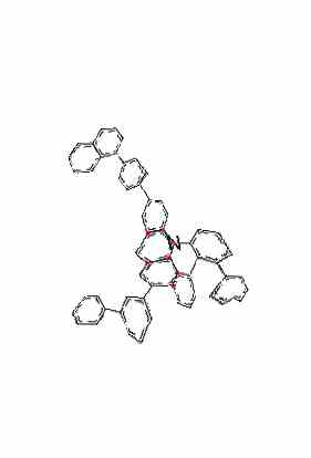 c1ccc(-c2cccc(-c3ccc(N(c4ccc(-c5ccc(-c6cccc7ccccc67)cc5)cc4)c4cccc(-c5ccccc5)c4-c4ccccc4-c4ccccc4)cc3)c2)cc1